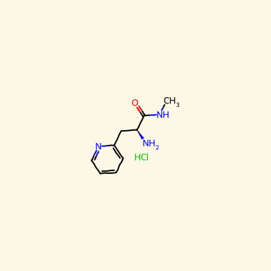 CNC(=O)[C@@H](N)Cc1ccccn1.Cl